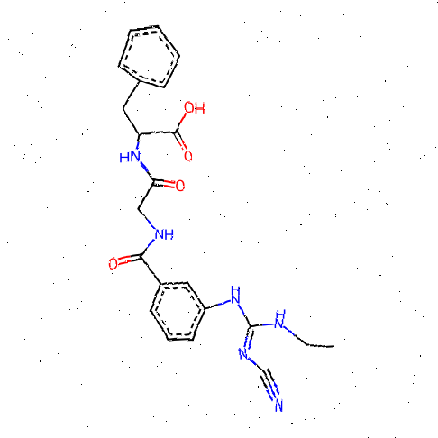 CCNC(=NC#N)Nc1cccc(C(=O)NCC(=O)NC(Cc2ccccc2)C(=O)O)c1